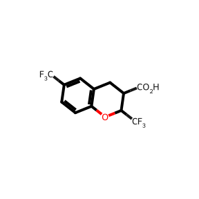 O=C(O)C1Cc2cc(C(F)(F)F)ccc2OC1C(F)(F)F